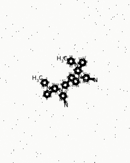 Cc1ccc(-n2c3ccccc3c3cc(N(c4ccc(C#N)cc4)c4ccc(-c5cccc6c(N(c7ccc(C#N)cc7)c7ccc8c(c7)c7ccccc7n8-c7ccc(C)cc7)cccc56)cc4)ccc32)cc1